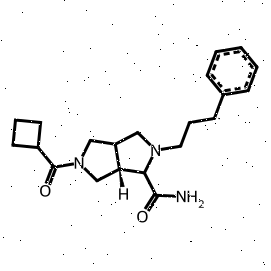 NC(=O)C1[C@@H]2CN(C(=O)C3CCC3)CC2CN1CC[CH]c1ccccc1